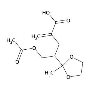 C=C(CC(COC(C)=O)C1(C)OCCO1)C(=O)O